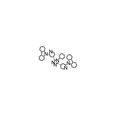 c1ccc(-n2c(-c3ccnc(-n4c5ccccc5c5ccccc54)c3)nnc2-c2ccnc(-n3c4ccccc4c4ccccc43)c2)cc1